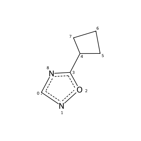 [c]1noc(C2CCC2)n1